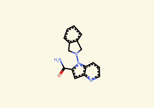 NC(=O)c1cc2ncccc2n1N1Cc2ccccc2C1